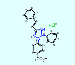 Cl.O=C(O)c1ccc(N2N=C(C=Cc3ccccc3)NN2c2ccccc2)cc1